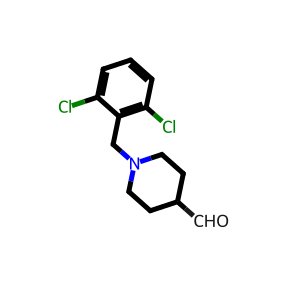 O=CC1CCN(Cc2c(Cl)cccc2Cl)CC1